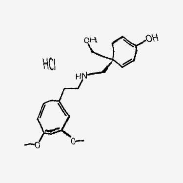 COc1ccc(CCNC[C@]2(CO)C=CC(O)=CC2)cc1OC.Cl